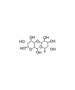 C[C@H]1O[C@@H](O[C@@H]2[C@H](O)[C@@H](O)[C@H](O)O[C@@H]2CO)[C@@H](O)[C@@H](O)[C@@H]1O